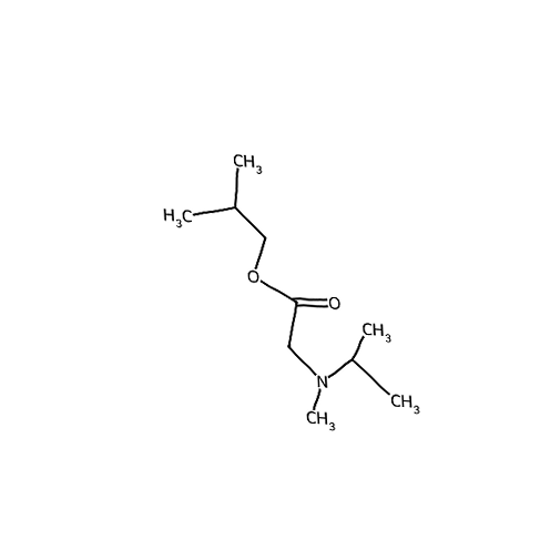 CC(C)COC(=O)CN(C)C(C)C